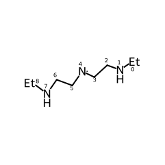 CCNCC[N]CCNCC